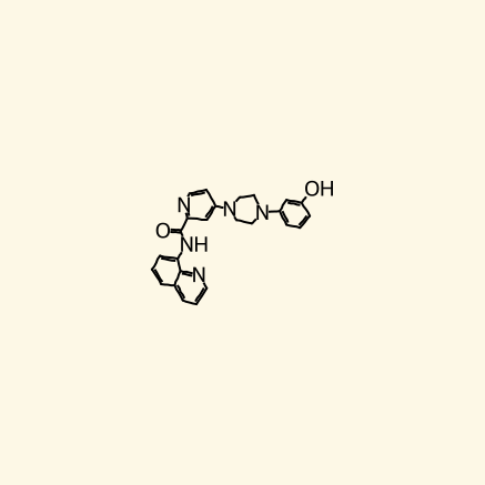 O=C(Nc1cccc2cccnc12)c1cc(N2CCN(c3cccc(O)c3)CC2)ccn1